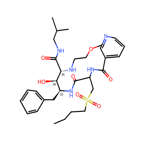 CCCCS(=O)(=O)CC(NC(=O)c1cccnc1)C(=O)N[C@@H](Cc1ccccc1)[C@@H](O)[C@@H](NCCOC)C(=O)NCC(C)C